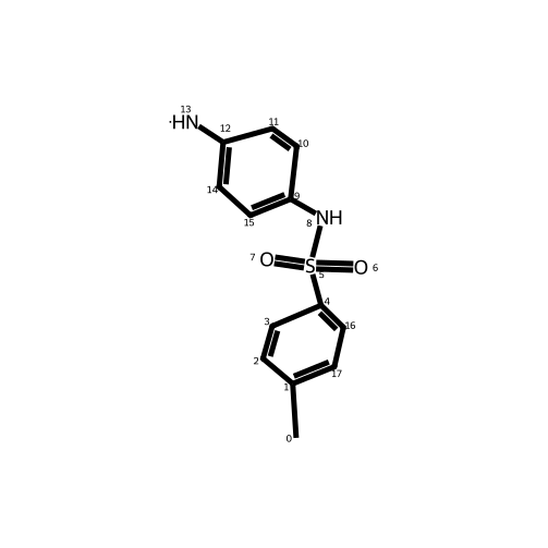 Cc1ccc(S(=O)(=O)Nc2ccc([NH])cc2)cc1